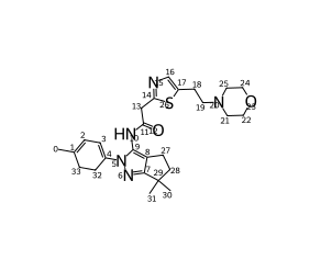 CC1=CC=C(n2nc3c(c2NC(=O)Cc2ncc(CCN4CCOCC4)s2)CCC3(C)C)CC1